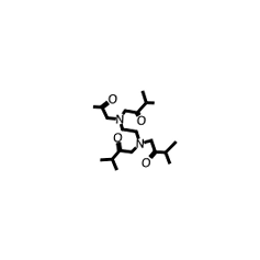 CC(=O)CN(CCN(CC(=O)C(C)C)CC(=O)C(C)C)CC(=O)C(C)C